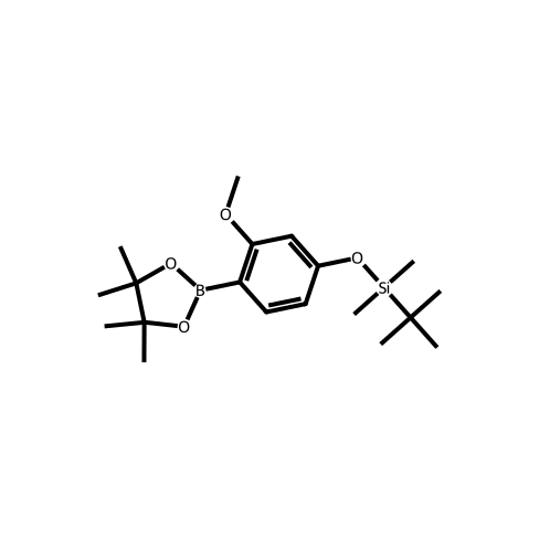 COc1cc(O[Si](C)(C)C(C)(C)C)ccc1B1OC(C)(C)C(C)(C)O1